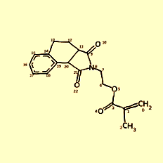 C=C(C)C(=O)OCCN1C(=O)C2CCc3ccccc3C2C1=O